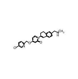 CNCc1ccc2c(c1)CCC(n1ccc(OCc3ccc(Cl)cn3)cc1=O)=C2